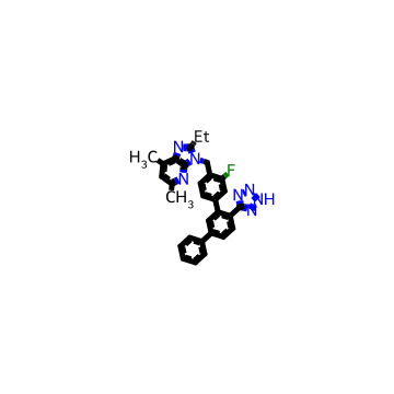 CCc1nc2c(C)cc(C)nc2n1Cc1ccc(-c2cc(-c3ccccc3)ccc2-c2nn[nH]n2)cc1F